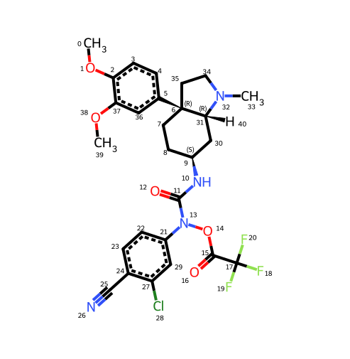 COc1ccc([C@]23CC[C@H](NC(=O)N(OC(=O)C(F)(F)F)c4ccc(C#N)c(Cl)c4)C[C@H]2N(C)CC3)cc1OC